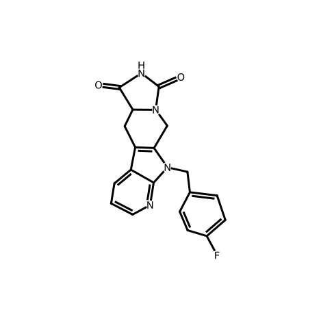 O=C1NC(=O)N2Cc3c(c4cccnc4n3Cc3ccc(F)cc3)CC12